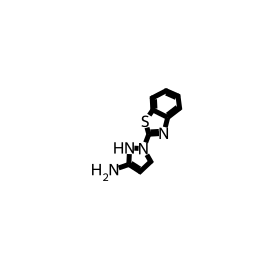 NC1=CCN(c2nc3ccccc3s2)N1